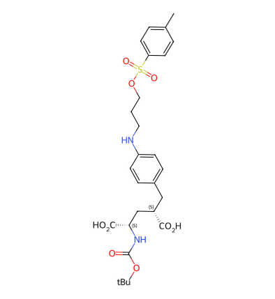 Cc1ccc(S(=O)(=O)OCCCNc2ccc(C[C@@H](C[C@H](NC(=O)OC(C)(C)C)C(=O)O)C(=O)O)cc2)cc1